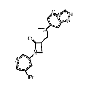 CC(C)c1cncc(N2CC(C[C@@H](C)c3cnn4cnnc4c3)C2=O)c1